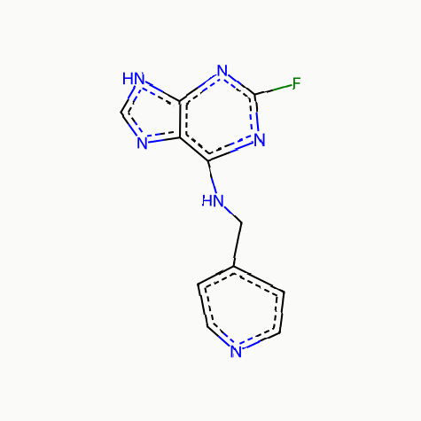 Fc1nc(NCc2ccncc2)c2nc[nH]c2n1